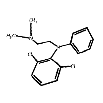 CN(C)CCN(c1ccccc1)c1c(Cl)cccc1Cl